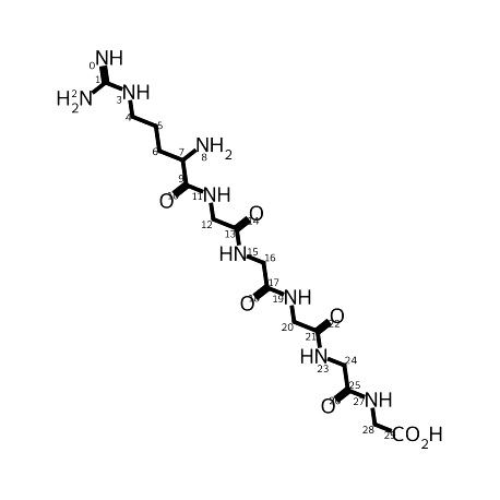 N=C(N)NCCCC(N)C(=O)NCC(=O)NCC(=O)NCC(=O)NCC(=O)NCC(=O)O